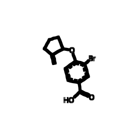 C=C1CCCC1Oc1ccc(C(=O)O)cc1Br